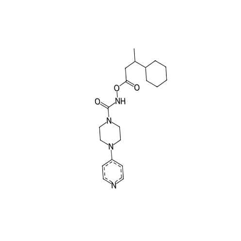 CC(CC(=O)ONC(=O)N1CCN(c2ccncc2)CC1)C1CCCCC1